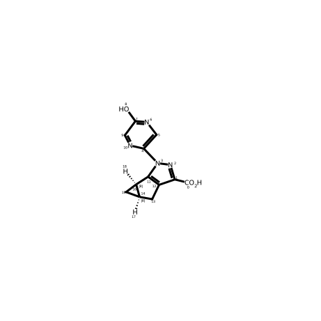 O=C(O)c1nn(-c2cnc(O)cn2)c2c1C[C@H]1C[C@@H]21